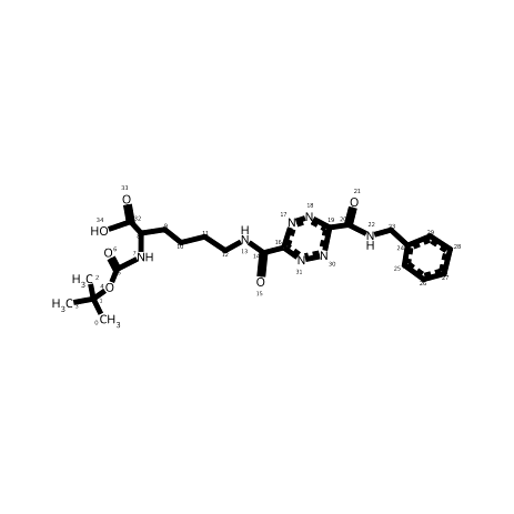 CC(C)(C)OC(=O)NC(CCCCNC(=O)c1nnc(C(=O)NCc2ccccc2)nn1)C(=O)O